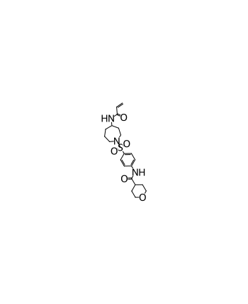 C=CC(=O)NC1CCCN(S(=O)(=O)c2ccc(NC(=O)C3CCOCC3)cc2)CC1